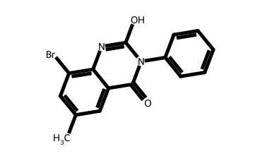 Cc1cc(Br)c2nc(O)n(-c3ccccc3)c(=O)c2c1